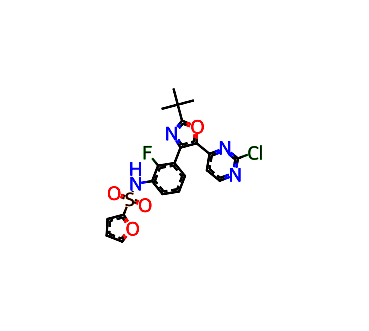 CC(C)(C)c1nc(-c2cccc(NS(=O)(=O)c3ccco3)c2F)c(-c2ccnc(Cl)n2)o1